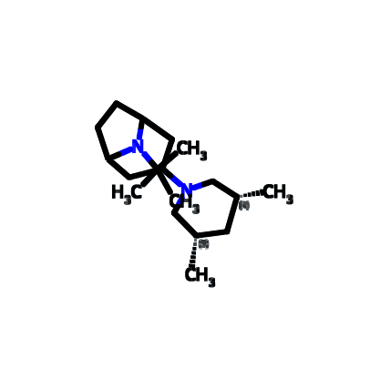 C[C@@H]1C[C@H](C)CN(C2CC3CCC(C2)N3C(C)(C)C)C1